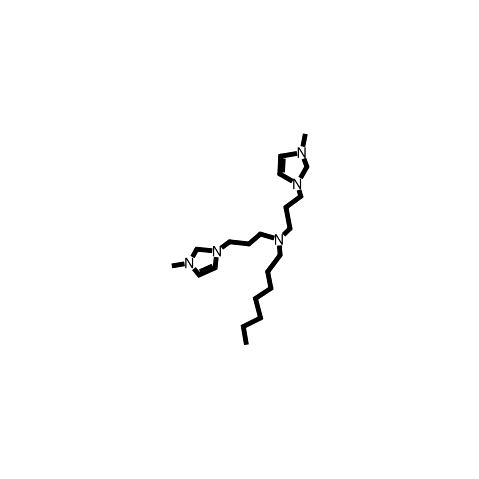 CCCCCCCN(CCCN1C=CN(C)C1)CCCN1C=CN(C)C1